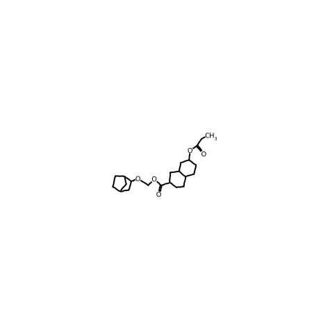 CCC(=O)OC1CCC2CCC(C(=O)OCOC3CC4CCC3C4)CC2C1